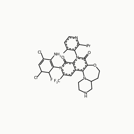 Cc1ccnc(C(C)C)c1-n1c(=O)c2c(c3cc(C(F)(F)F)n(C4=C(N)C(Cl)=CC(Cl)C4F)c(=O)c31)N1CCNCC1CCO2